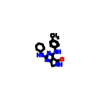 Cc1ccc(Nc2nc(NC3CCCCC3)nc3c2C(=O)NC3)cc1